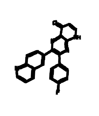 O=c1cc[nH]c2nc(-c3ccc(F)cc3)c(-c3ccc4ncccc4c3)nc12